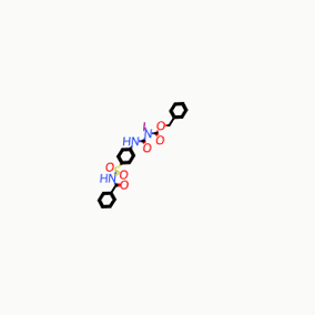 O=C(NS(=O)(=O)c1ccc(NC(=O)N(I)C(=O)OCc2ccccc2)cc1)c1ccccc1